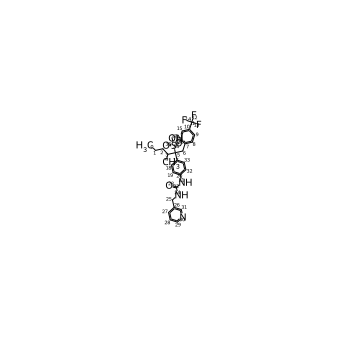 CCCC(C)C(Cc1ccc(C(F)(F)F)cn1)(c1ccc(NC(=O)NCc2cccnc2)cc1)S(=O)(=O)O